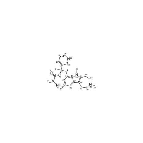 Cc1cc(CC(C)(OC(=O)C(C)N)c2cccnc2)c2c(c1)c1c(n2C)CCN(C)CC1